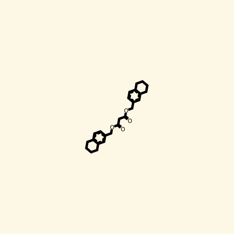 O=C(CC(=O)OCc1ccc2c(c1)CCCC2)OCc1ccc2c(c1)CCCC2